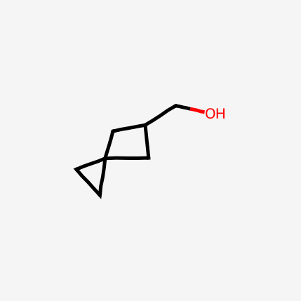 OCC1CC2(CC2)C1